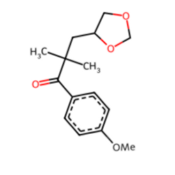 COc1ccc(C(=O)C(C)(C)CC2COCO2)cc1